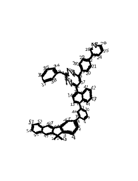 CC1(C)c2ccc(-c3cccc(-c4ccc(-c5cc(-c6ccc(-c7cccnc7)cc6)nc(-c6ccccc6)n5)c5ccccc45)c3)cc2-c2cc3ccccc3cc21